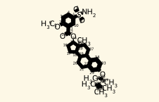 COc1ccc(S(N)(=O)=O)cc1C(=O)O[C@H]1CCC2C3CCc4cc(O[Si](C)(C)C(C)(C)C)ccc4C3CC[C@@]21C